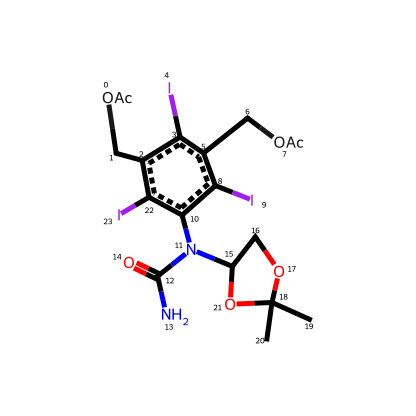 CC(=O)OCc1c(I)c(COC(C)=O)c(I)c(N(C(N)=O)C2COC(C)(C)O2)c1I